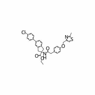 CCOC(=O)C1(NC(=O)Cc2ccc(OCc3csc(C)n3)cc2)Cc2ccc(-c3ccc(Cl)cc3)cc2C1